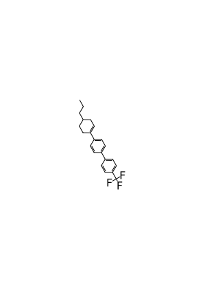 CCCC1CC=C(c2ccc(-c3ccc(C(F)(F)F)cc3)cc2)CC1